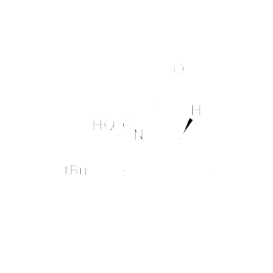 CC(C)(C)C12CCC[C@@H](C(=O)CC1)N2C(=O)O